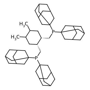 CC1C[C@H](CP(C23CC4CC(CC(C4)C2)C3)C23CC4CC(CC(C4)C2)C3)[C@H](CP(C23CC4CC(CC(C4)C2)C3)C23CC4CC(CC(C4)C2)C3)CC1C